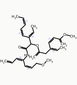 C=C/C=C(\C=C/COC)NC(=O)C(OC(=C)CC(/C=C\C(=C)OC)=C/C)C(/C=C\C=C/C)=C/C